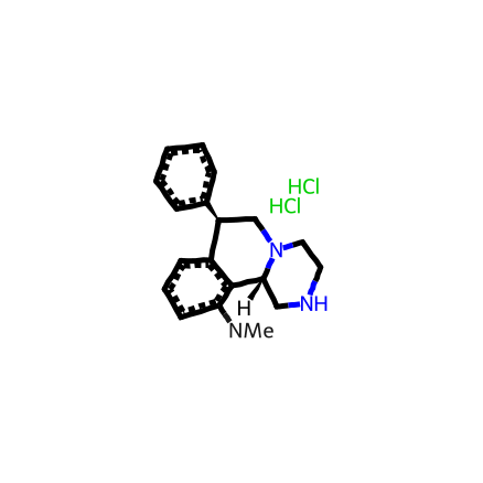 CNc1cccc2c1[C@H]1CNCCN1C[C@@H]2c1ccccc1.Cl.Cl